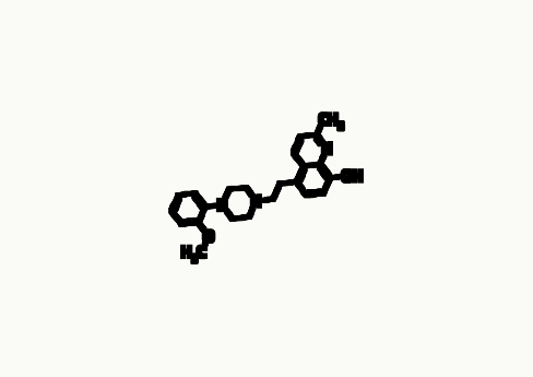 COc1ccccc1N1CCN(CCc2ccc(O)c3nc(C)ccc23)CC1